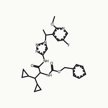 COc1ncc(F)cc1C(C)n1cc(NC(=O)C(NC(=O)OCc2ccccc2)C(C2CC2)C2CC2)nn1